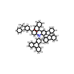 CC1(C)c2ccccc2-c2cc(-c3ccc(N(c4ccc5c6ccccc6c6ccccc6c5c4)c4cc5c(cc4-c4cccc6ccccc46)-c4ccccc4C54c5ccccc5-c5ccccc54)cc3)ccc21